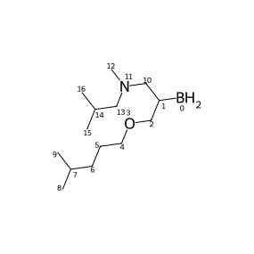 BC(COCCCC(C)C)CN(C)CC(C)C